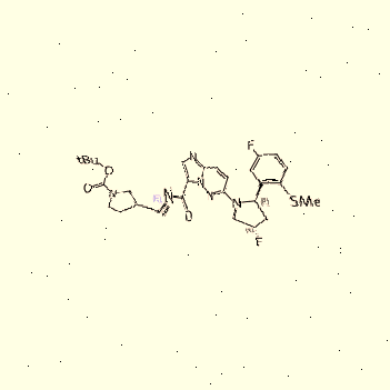 CSc1ccc(F)cc1[C@H]1C[C@H](F)CN1c1ccc2ncc(C(=O)/N=C/C3CCN(C(=O)OC(C)(C)C)C3)n2n1